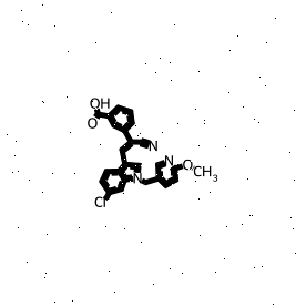 COc1ccc(Cn2cc(/C=C(\C#N)c3cccc(C(=O)O)c3)c3ccc(Cl)cc32)cn1